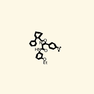 CCOc1cccc(NC(=O)c2nc(-c3ccccc3-c3ccccc3)oc2-c2ccc(N(C)C)cc2)c1